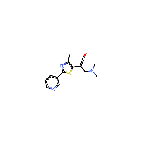 Cc1nc(-c2cccnc2)sc1C(=C=O)CN(C)C